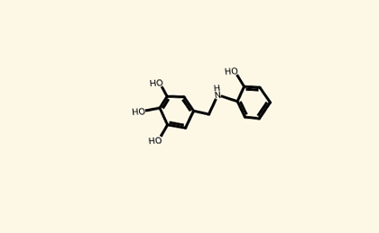 Oc1ccccc1NCc1cc(O)c(O)c(O)c1